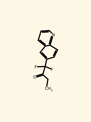 CCC(=O)C(F)(F)c1ccc2ncccc2c1